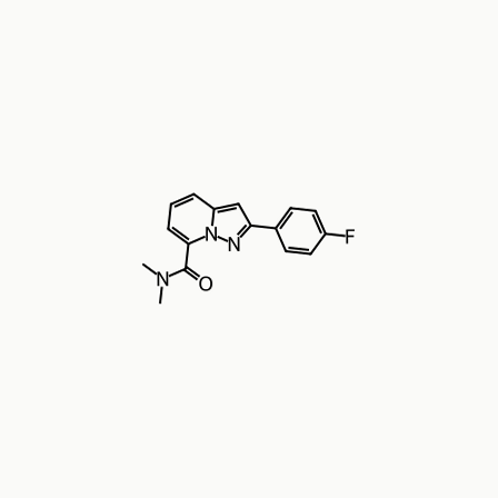 CN(C)C(=O)c1cccc2cc(-c3ccc(F)cc3)nn12